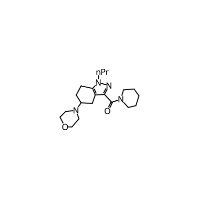 CCCn1nc(C(=O)N2CCCCC2)c2c1CCC(N1CCOCC1)C2